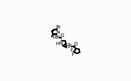 Cc1ccc(Br)nc1NC(=O)[C@@H]1C[C@@]2(CNC(=O)C3CCCC3(F)F)CC2N1